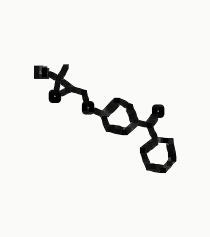 CCC1(C)OC1COc1ccc(C(=O)c2ccccc2)cc1